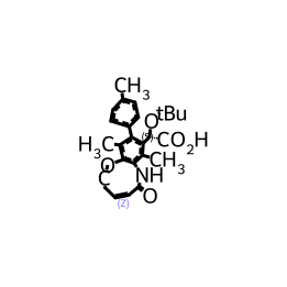 Cc1ccc(-c2c(C)c3c(c(C)c2[C@H](OC(C)(C)C)C(=O)O)NC(=O)/C=C\CCO3)cc1